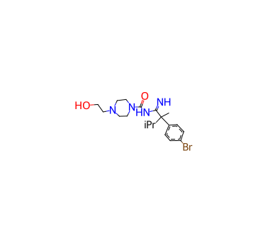 CC(C)C(C)(C(=N)NC(=O)N1CCN(CCO)CC1)c1ccc(Br)cc1